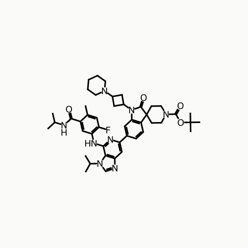 Cc1cc(F)c(Nc2nc(-c3ccc4c(c3)N(C3CC(N5CCCCC5)C3)C(=O)C43CCN(C(=O)OC(C)(C)C)CC3)cc3ncn(C(C)C)c23)cc1C(=O)NC(C)C